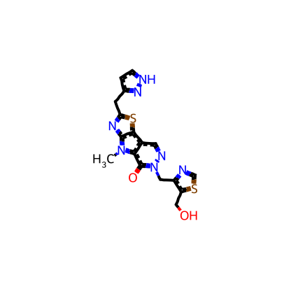 Cn1c2nc(Cc3cc[nH]n3)sc2c2cnn(Cc3ncsc3CO)c(=O)c21